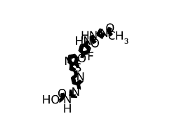 CC(=O)N1CC(NC(=O)Nc2ccc(Oc3ccnc4cc(-c5ccc(CN6CC(NC(=O)CO)C6)cn5)sc34)c(F)c2)C1